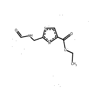 CCOC(=O)c1csc(CNC=O)n1